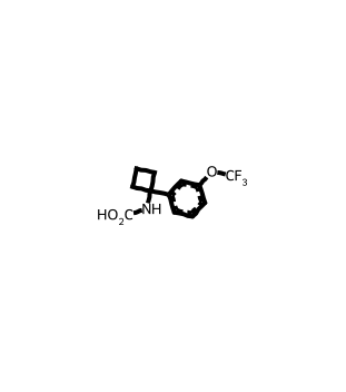 O=C(O)NC1(c2cccc(OC(F)(F)F)c2)CCC1